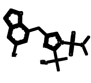 CN(C)S(=O)(=O)n1cc(Cc2cc(Br)cc3ccoc23)nc1[Si](C)(C)C(C)(C)C